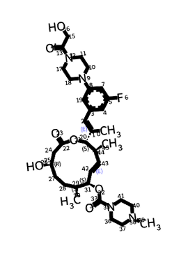 C/C(=C\c1cc(F)cc(N2CCN(C(=O)CO)CC2)c1)[C@H]1OC(=O)C[C@H](O)CC[C@H](C)[C@H](OC(=O)N2CCN(C)CC2)/C=C/[C@@H]1C